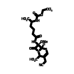 CO[C@@]1(NC(=O)CCCC(NC(=O)OCC(Cl)(Cl)Cl)C(=O)O)C(=O)N2C(C(=O)O)C(CC#N)=CS[C@H]21